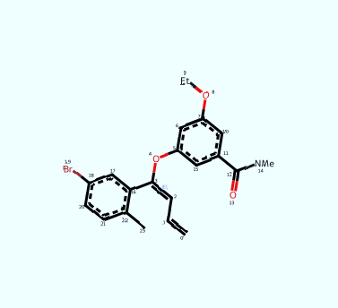 C=C/C=C(/Oc1cc(OCC)cc(C(=O)NC)c1)c1cc(Br)ccc1C